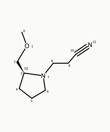 COC[C@@H]1CCCN1CCC#N